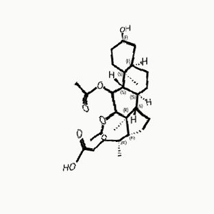 CC(=O)OC1C(OC(C)=O)[C@]2(C)[C@@H]([C@H](C)CCC(=O)O)CC[C@H]2[C@@H]2CC[C@@H]3C[C@H](O)CC[C@]3(C)[C@@H]12